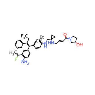 C=C(F)c1cc(C(=C(CC(F)(F)F)c2ccccc2)C(/C=C\C(=C\CC)NCC2(NC/C=C/C(=O)N3CCC(O)C3)CC2)=C/C)ccc1N